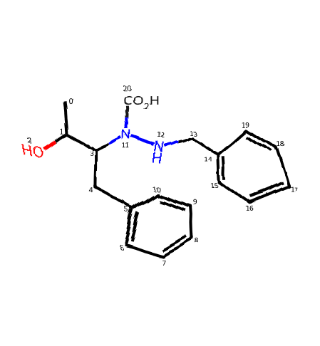 CC(O)C(Cc1ccccc1)N(NCc1ccccc1)C(=O)O